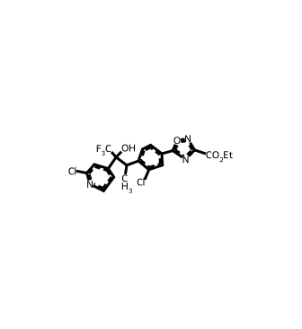 CCOC(=O)c1noc(-c2ccc(C(C)C(O)(c3ccnc(Cl)c3)C(F)(F)F)c(Cl)c2)n1